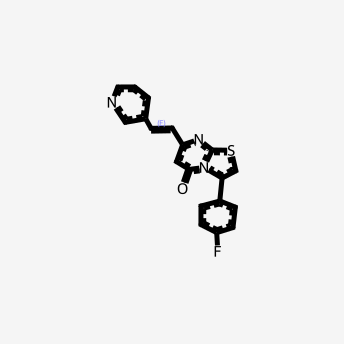 O=c1cc(/C=C/c2cccnc2)nc2scc(-c3ccc(F)cc3)n12